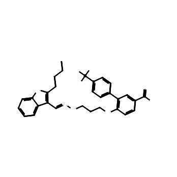 CCCCc1oc2ccccc2c1C=NOCCCOc1ccc(C(=O)O)cc1-c1ccc(C(F)(F)F)cc1